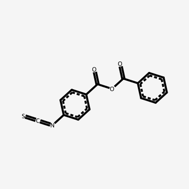 O=C(OC(=O)c1ccc(N=C=S)cc1)c1ccccc1